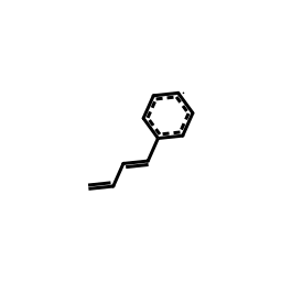 C=CC=Cc1cc[c]cc1